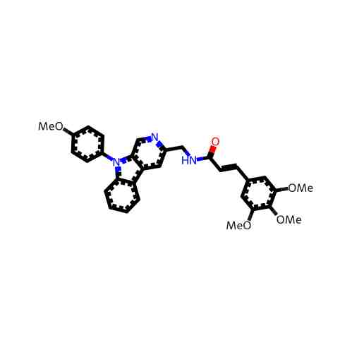 COc1ccc(-n2c3ccccc3c3cc(CNC(=O)/C=C/c4cc(OC)c(OC)c(OC)c4)ncc32)cc1